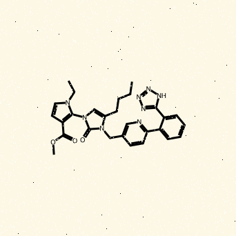 CCCCc1cn(-c2c(C(=O)OC)ccn2CC)c(=O)n1Cc1ccc(-c2ccccc2-c2nnn[nH]2)nc1